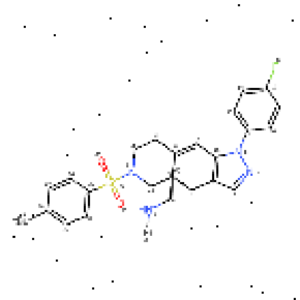 CCNC[C@]12Cc3cnn(-c4ccc(F)cc4)c3C=C1CCN(S(=O)(=O)c1ccc(C(C)(C)C)cc1)C2